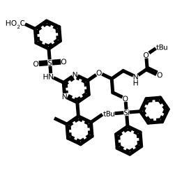 Cc1cccc(C)c1-c1cc(OC(CNC(=O)OC(C)(C)C)CO[Si](c2ccccc2)(c2ccccc2)C(C)(C)C)nc(NS(=O)(=O)c2cccc(C(=O)O)c2)n1